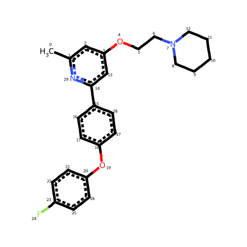 Cc1cc(OCCN2CCCCC2)cc(-c2ccc(Oc3ccc(F)cc3)cc2)n1